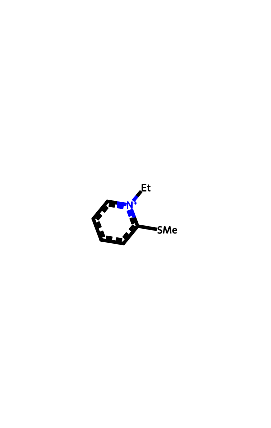 [CH2]Sc1cccc[n+]1CC